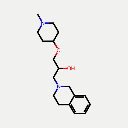 CN1CCC(OCC(O)CN2CCc3ccccc3C2)CC1